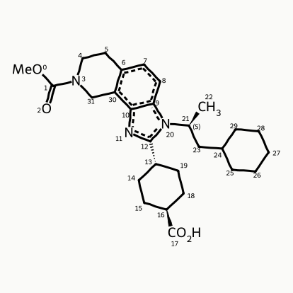 COC(=O)N1CCc2ccc3c(nc([C@H]4CC[C@H](C(=O)O)CC4)n3[C@@H](C)CC3CCCCC3)c2C1